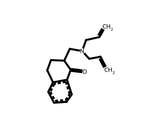 C=CCN(CC=C)CC1CCc2ccccc2C1=O